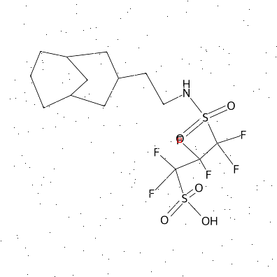 O=S(=O)(O)C(F)(F)C(F)(F)C(F)(F)S(=O)(=O)NCCC1CC2CCCC(C2)C1